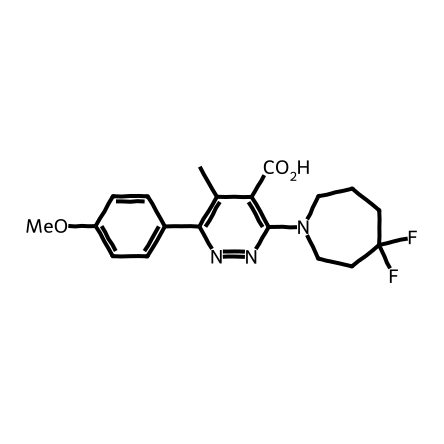 COc1ccc(-c2nnc(N3CCCC(F)(F)CC3)c(C(=O)O)c2C)cc1